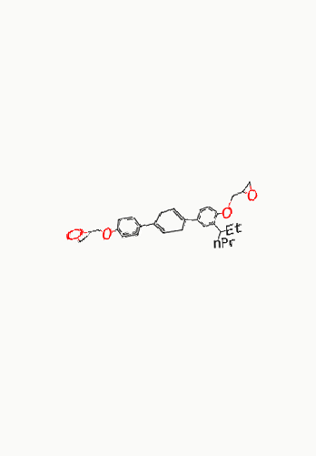 CCCC(CC)c1cc(C2=CCC(c3ccc(OCC4CO4)cc3)=CC2)ccc1OCC1CO1